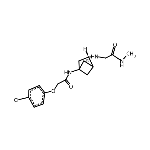 CNC(=O)CN[C@H]1CC2(NC(=O)COc3ccc(Cl)cc3)CC1C2